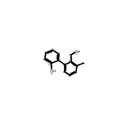 Cc1cccc(-c2ccccc2O)c1CO